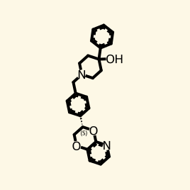 OC1(c2ccccc2)CCN(Cc2ccc([C@H]3COc4cccnc4O3)cc2)CC1